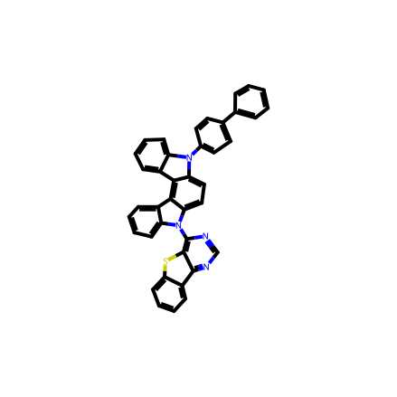 c1ccc(-c2ccc(-n3c4ccccc4c4c5c6ccccc6n(-c6ncnc7c6sc6ccccc67)c5ccc43)cc2)cc1